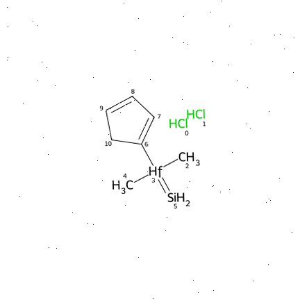 Cl.Cl.[CH3][Hf]([CH3])(=[SiH2])[C]1=CC=CC1